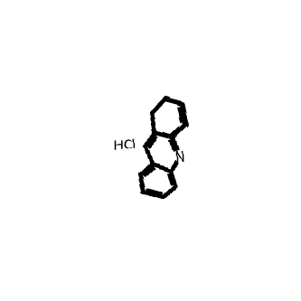 C1=Cc2nc3ccccc3cc2CC1.Cl